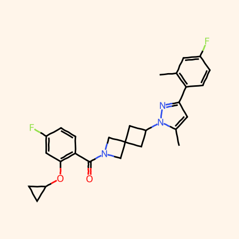 Cc1cc(F)ccc1-c1cc(C)n(C2CC3(C2)CN(C(=O)c2ccc(F)cc2OC2CC2)C3)n1